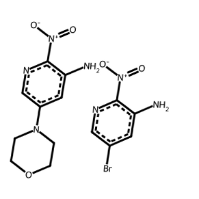 Nc1cc(Br)cnc1[N+](=O)[O-].Nc1cc(N2CCOCC2)cnc1[N+](=O)[O-]